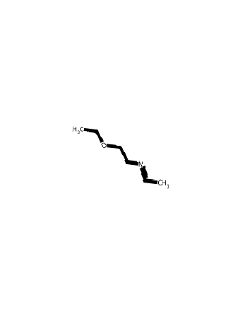 CC=NCCOCC